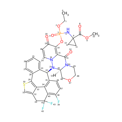 CCOP(=O)(NC1(C(=O)OC)CC1)Oc1c2n(ccc1=O)N([C@@H]1c3ccccc3-c3scc4c3-c3c1ccc(F)c3C(F)(F)C4)[C@@H]1COCCN1C2=O